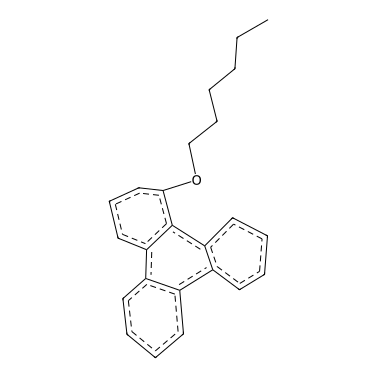 CCCCCCOc1cccc2c3ccccc3c3ccccc3c12